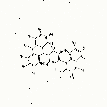 [2H]c1c([2H])c(-c2c3c([2H])c([2H])c([2H])c([2H])c3c(Br)c3c([2H])c([2H])c([2H])c([2H])c23)c([2H])c([2H])c1-c1c([2H])c([2H])c([2H])c2c([2H])c([2H])c([2H])c([2H])c12